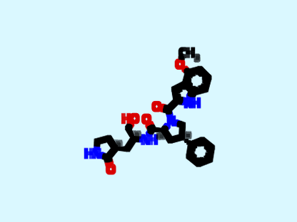 COc1cccc2[nH]c(C(=O)N3C[C@H](c4ccccc4)C[C@H]3C(=O)N[C@H](CO)C[C@@H]3CCNC3=O)cc12